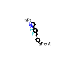 CCCCC[C@H]1CC[C@H](CCc2ccc(-c3ccc(CCC)nn3)c(F)c2F)CC1